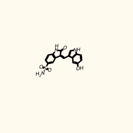 NS(=O)(=O)c1ccc2c(c1)C(=Cc1c[nH]c3ccc(O)cc13)C(=O)N2